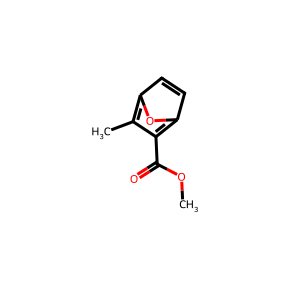 COC(=O)c1c(C)c2ccc1o2